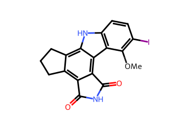 COc1c(I)ccc2[nH]c3c4c(c5c(c3c12)C(=O)NC5=O)CCC4